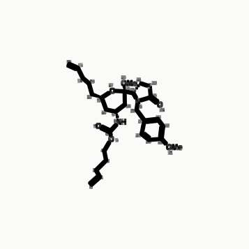 C=CCCCOC(=O)N[C@@H]1C[C@@H](CCCC=C)O[C@@](OC)([C@@H]2CSC(=O)N2Cc2ccc(OC)cc2)C1